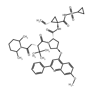 C=C[C@@H]1C[C@]1(NC(=O)[C@@H]1C[C@@H](Oc2cc(-c3ccccc3)nc3cc(OC)ccc23)CN1C(=O)[C@@H](CC(=O)N1C(C)CCCC1C)C(C)(C)C)C(=O)NS(=O)(=O)C1CC1